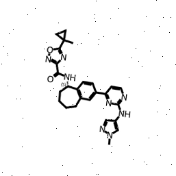 Cn1cc(Nc2nccc(-c3ccc4c(c3)CCCC[C@@H]4NC(=O)c3noc(C4(C)CC4)n3)n2)cn1